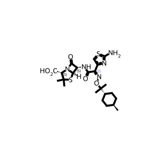 CC1(C)S[C@@H]2[C@@H](NC(=O)/C(=N\OC(C)(C)[C@H]3CC[C@H](C)CC3)c3csc(N)n3)C(=O)N2[C@H]1C(=O)O